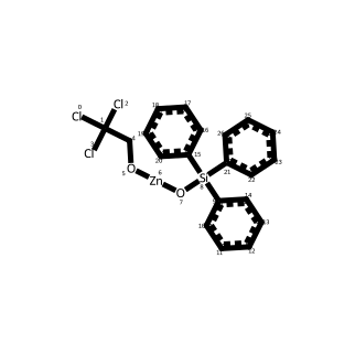 ClC(Cl)(Cl)C[O][Zn][O][Si](c1ccccc1)(c1ccccc1)c1ccccc1